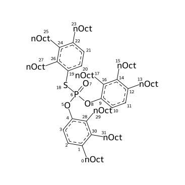 CCCCCCCCc1ccc(OP(=O)(Oc2ccc(CCCCCCCC)c(CCCCCCCC)c2CCCCCCCC)Sc2ccc(CCCCCCCC)c(CCCCCCCC)c2CCCCCCCC)c(CCCCCCCC)c1CCCCCCCC